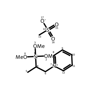 CO[Si](OC)(OC)C(C)C[n+]1ccccc1.CS(=O)(=O)[O-]